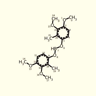 COc1ccc(OBOc2ccc(OC)c(OC)c2C)c(C)c1OC